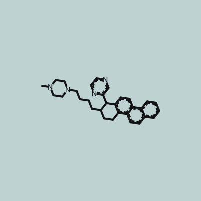 CN1CCN(CCCCC2CCc3c(ccc4c3ccc3ccccc34)C2c2cnccn2)CC1